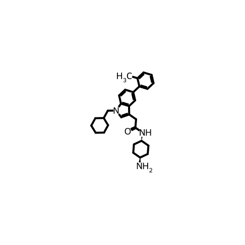 Cc1ccccc1-c1ccc2c(c1)c(CC(=O)N[C@H]1CC[C@H](N)CC1)cn2CC1CCCCC1